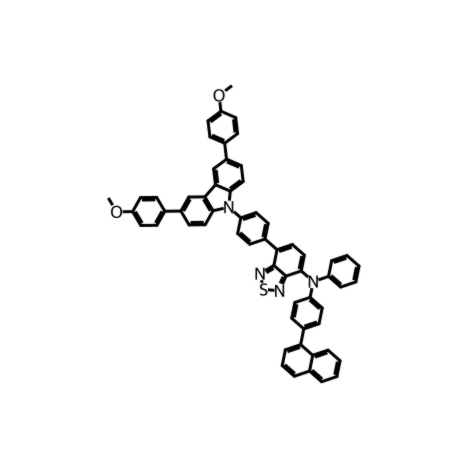 COc1ccc(-c2ccc3c(c2)c2cc(-c4ccc(OC)cc4)ccc2n3-c2ccc(-c3ccc(N(c4ccccc4)c4ccc(-c5cccc6ccccc56)cc4)c4nsnc34)cc2)cc1